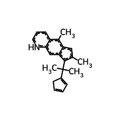 Cc1cc2c(C)c3ccc[nH]c3cc2c1C(C)(C)C1=CC=CC1